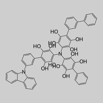 Oc1c(O)c(N(c2c(O)c(O)c(-c3cccc(-c4ccccc4)c3)c(O)c2O)c2c(O)c(O)c(-c3cccc(-n4c5ccccc5c5ccccc54)c3)c(O)c2O)c(O)c(O)c1-c1ccccc1